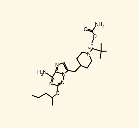 CCCC(C)Oc1nc(N)c2ncc(CC3CCN([C@H](COC(N)=O)C(C)(C)C)CC3)n2n1